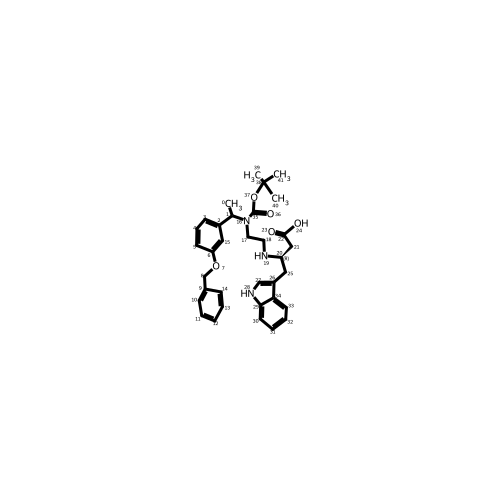 CC(c1cccc(OCc2ccccc2)c1)N(CCN[C@@H](CC(=O)O)Cc1c[nH]c2ccccc12)C(=O)OC(C)(C)C